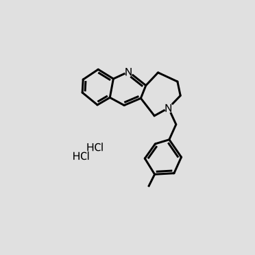 Cc1ccc(CN2CCCc3nc4ccccc4cc3C2)cc1.Cl.Cl